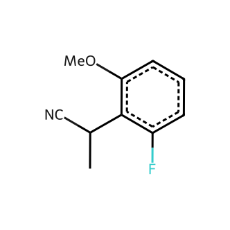 COc1cccc(F)c1C(C)C#N